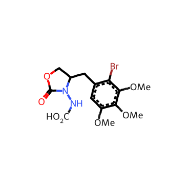 COc1cc(CC2COC(=O)N2NC(=O)O)c(Br)c(OC)c1OC